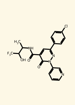 CC(NC(=O)c1cc(-c2ccc(Cl)cc2)nn(-c2cccnc2)c1=O)C(O)C(F)(F)F